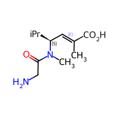 C/C(=C\[C@H](C(C)C)N(C)C(=O)CN)C(=O)O